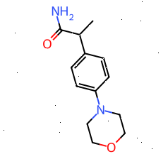 CC(C(N)=O)c1ccc(N2CCOCC2)cc1